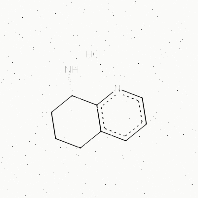 Cl.N[C@H]1CCCc2cccnc21